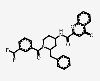 O=C(NC1CCN(C(=O)c2cccc(C(F)F)c2)C(Cc2ccccc2)C1)c1cc(=O)c2ccccc2o1